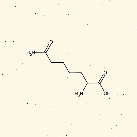 NC(=O)CCCCC(N)C(=O)O